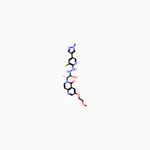 COCCOc1cnc2ccn([C@H](C)C(O)NNc3ncc(-c4cnn(C)c4)cc3F)c(=O)c2c1